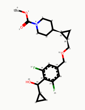 CC(C)(C)OC(=O)N1CCC([C@H]2C[C@H]2COCc2cc(F)c(C(O)C3CC3)c(F)c2)CC1